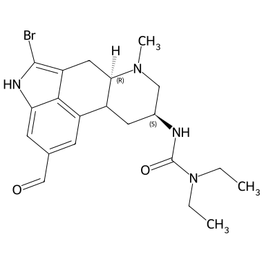 CCN(CC)C(=O)N[C@H]1CC2c3cc(C=O)cc4[nH]c(Br)c(c34)C[C@H]2N(C)C1